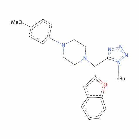 CCCCn1nnnc1C(c1cc2ccccc2o1)N1CCN(c2ccc(OC)cc2)CC1